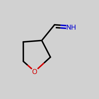 N=CC1CCOC1